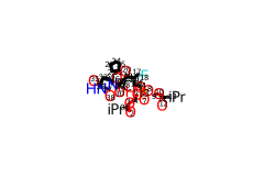 CC(C)C(=O)OCOP(=O)(OCOC(=O)C(C)C)OC[C@H](CF)[C@H]1OC2(CCCC2)O[C@@]1(C)[C@@H](O)n1ccc(=O)[nH]c1=O